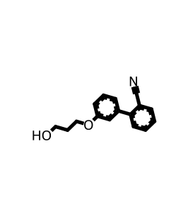 N#Cc1ccccc1-c1cccc(OCCCO)c1